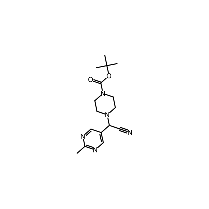 Cc1ncc(C(C#N)N2CCN(C(=O)OC(C)(C)C)CC2)cn1